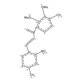 COc1c(C)ccc(C(=O)/C=C/c2ccc(C)cc2[N+](=O)[O-])c1OC